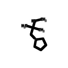 CNC(C)(C)CN1CCCC1